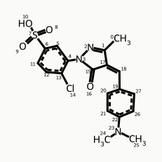 CC1=NN(c2cc(S(=O)(=O)O)ccc2Cl)C(=O)C1=Cc1ccc(N(C)C)cc1